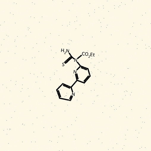 CCOC(=O)N(C(N)=S)c1cccc(-c2ccccn2)n1